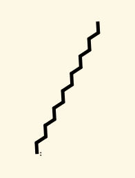 [CH]CCCCCCCCCCCCCCC